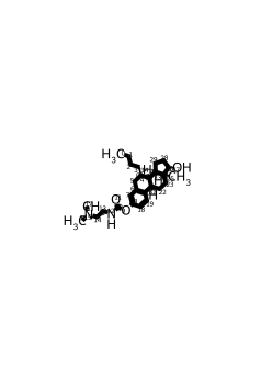 CCCC[C@@H]1Cc2cc(OC(=O)NCCN(C)C)ccc2[C@H]2CC[C@]3(C)[C@@H](O)CC[C@H]3[C@H]12